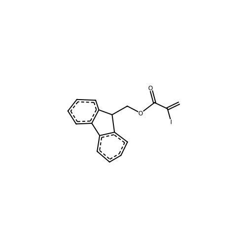 C=C(I)C(=O)OCC1c2ccccc2-c2ccccc21